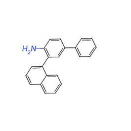 Nc1ccc(-c2ccccc2)cc1-c1cccc2ccccc12